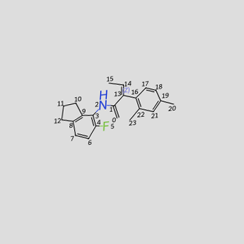 C=C(Nc1c(F)ccc2c1CCC2)/C(=C\C)c1ccc(C)cc1C